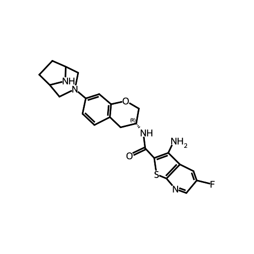 Nc1c(C(=O)N[C@H]2COc3cc(N4CC5CCC(C4)N5)ccc3C2)sc2ncc(F)cc12